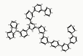 c1ccc(-c2cccc(-c3cccc(-c4ccc(-c5cccc(-c6cccc(-c7nc(-c8cccc(-c9cccc(-c%10ccccc%10)c9)c8)nc(-c8cccc(-n9c%10ccccc%10c%10ccccc%109)c8)n7)c6)c5)cc4)c3)c2)cc1